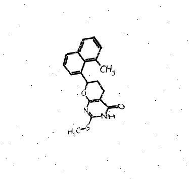 CSc1nc2c(c(=O)[nH]1)CCC(c1cccc3cccc(C)c13)O2